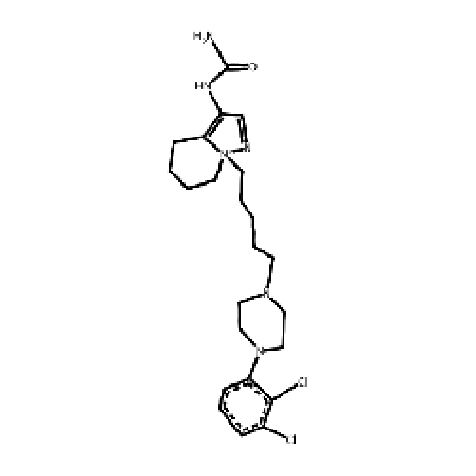 NC(=O)NC1=C2CCCC[N+]2(CCCCCN2CCN(c3cccc(Cl)c3Cl)CC2)N=C1